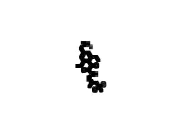 CCc1cc(CN)cc(CC)c1C(=O)C(=O)NN=C(C)CS(C)(=O)=O